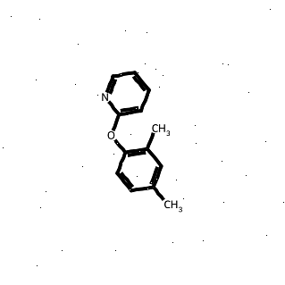 Cc1ccc(Oc2cc[c]cn2)c(C)c1